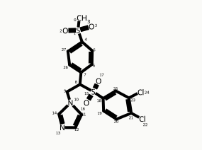 CS(=O)(=O)c1ccc(C(Cn2ccnc2)S(=O)(=O)c2ccc(Cl)c(Cl)c2)cc1